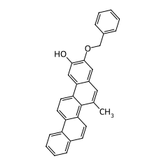 Cc1cc2cc(OCc3ccccc3)c(O)cc2c2ccc3c4ccccc4ccc3c12